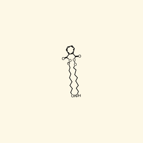 O=C(OOCCCCCCCCO)c1ccccc1C(=O)OOCCCCCCCCO